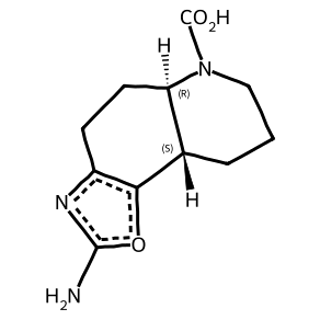 Nc1nc2c(o1)[C@H]1CCCN(C(=O)O)[C@@H]1CC2